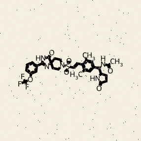 CC(=O)N[C@H](c1cc(C)c(C=CS(=O)(=O)N2CCC3(CC2)N=C(c2cccc(OC(F)(F)F)c2)NC3=O)c(C)c1)C1CCC(=O)N1